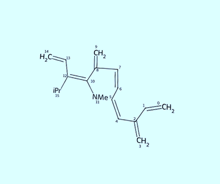 C=CC(=C)/C=C\C=C/C(=C)/C(NC)=C(\C=C)C(C)C